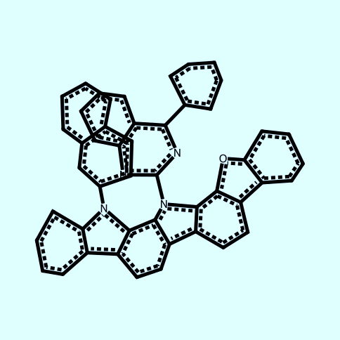 c1ccc(-c2nc(-n3c4c(ccc5c6ccccc6oc54)c4ccc5c6ccccc6n(-c6ccc7ccccc7c6)c5c43)nc3ccccc23)cc1